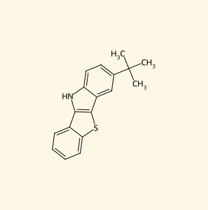 CC(C)(C)c1ccc2[nH]c3c4ccccc4sc3c2c1